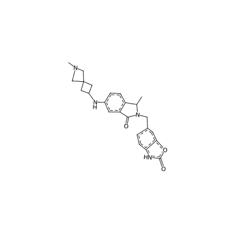 CC1c2ccc(NC3CC4(C3)CN(C)C4)cc2C(=O)N1Cc1ccc2[nH]c(=O)oc2c1